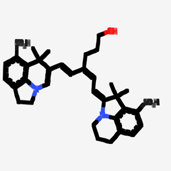 CC1(C)C(/C=C/C(=C\C=C2\N3CCCc4ccc(S(=O)(=O)O)c(c43)C2(C)C)CCCO)=CN2CCc3ccc(S(=O)(=O)O)c1c32